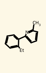 CCc1ccccc1-c1cccc(C)n1